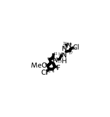 COc1c(Cl)cc(F)c2c1cc(C)n2CCNc1cc(Cl)ncn1